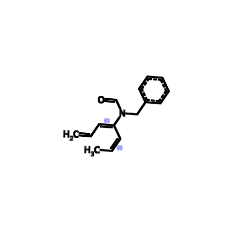 C=C/C=C(\C=C/C)N(C=O)Cc1ccccc1